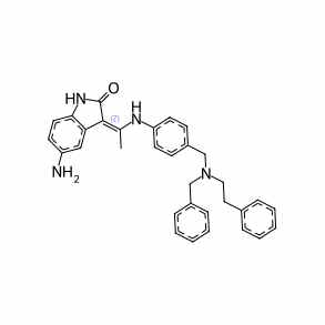 C/C(Nc1ccc(CN(CCc2ccccc2)Cc2ccccc2)cc1)=C1/C(=O)Nc2ccc(N)cc21